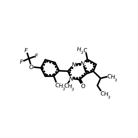 CCC(C)c1cc(C)n2nc(-c3ccc(OC(F)(F)F)cc3C)n(C)c(=O)c12